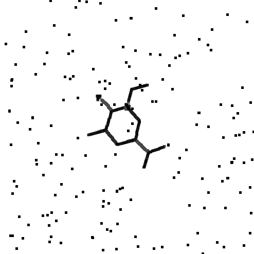 CCN1CC(C(C)C)CC(C)C1F